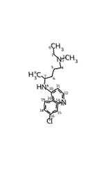 CCN(C)CCCC(C)Nc1ccnc2cc(Cl)ccc12